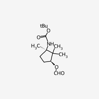 CC(C)(C)OC(=O)N[C@]1(C)CC[C@H](OC=O)C1(C)C